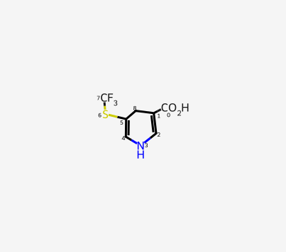 O=C(O)C1=CNC=C(SC(F)(F)F)C1